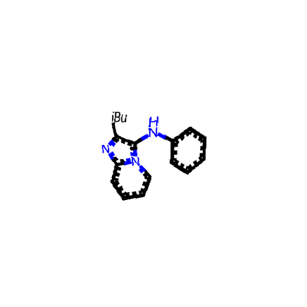 CCC(C)c1nc2ccccn2c1Nc1ccccc1